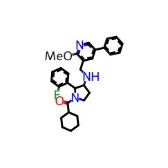 COc1ncc(-c2ccccc2)cc1CNC1CCN(C(=O)C2CCCCC2)C1c1ccccc1F